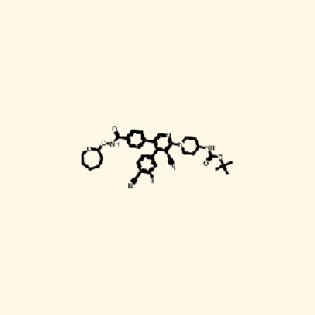 CC(C)(C)OC(=O)NC1CCN(c2ncc(-c3ccc(C(=O)NOC4CCCCCO4)cc3)c(-c3ccc(C#N)c(F)c3)c2C#N)CC1